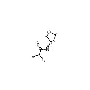 CC(I)C(=O)NC1CCOC1